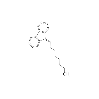 CCCCCCCC=C1c2ccccc2-c2ccccc21